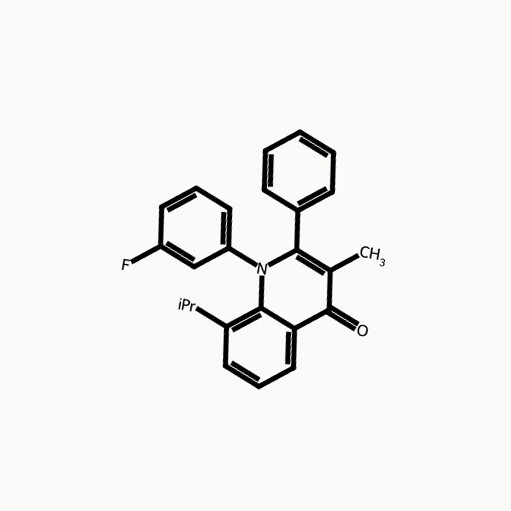 Cc1c(-c2ccccc2)n(-c2cccc(F)c2)c2c(C(C)C)cccc2c1=O